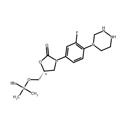 CC(C)(C)[Si](C)(C)OC[C@H]1CN(c2ccc(N3CCNNC3)c(F)c2)C(=O)O1